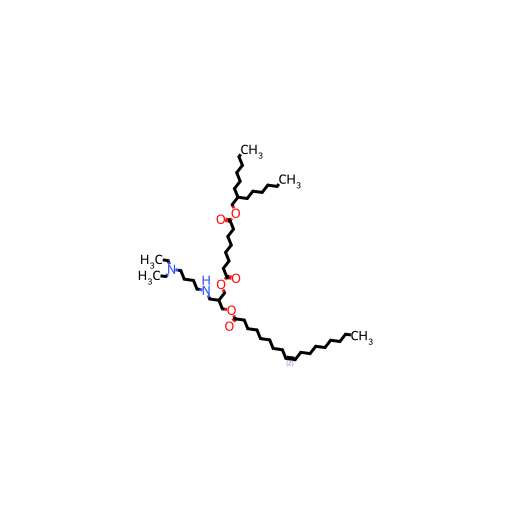 CCCCCCCC/C=C\CCCCCCCC(=O)OCC(CNCCCCN(CC)CC)COC(=O)CCCCCCC(=O)OCC(CCCCCC)CCCCCC